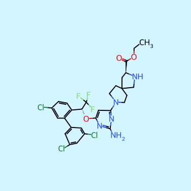 CCOC(=O)[C@@H]1CC2(CCN(c3cc(O[C@H](c4ccc(Cl)cc4-c4cc(Cl)cc(Cl)c4)C(F)(F)F)nc(N)n3)CC2)CN1